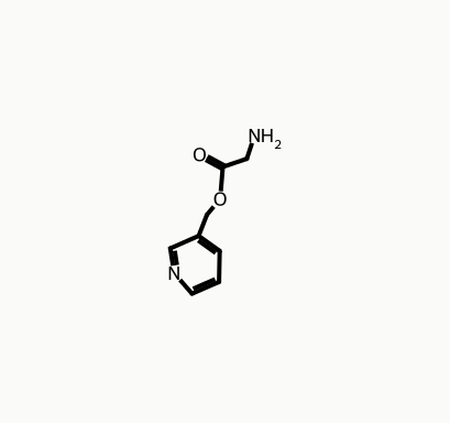 NCC(=O)OCc1cccnc1